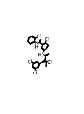 C=C(Nc1ccccc1Cl)c1cc(NC(=C)C2C(c3cc(Cl)cc(Cl)c3)C2(C)Cl)ccc1Cl